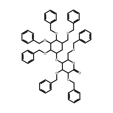 O=C1OC(COCc2ccccc2)C(OC2CC(COCc3ccccc3)C(OCc3ccccc3)C(OCc3ccccc3)C2OCc2ccccc2)C(OCc2ccccc2)C1OCc1ccccc1